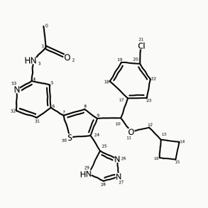 CC(=O)Nc1cc(-c2cc(C(OCC3CCC3)c3ccc(Cl)cc3)c(-c3nnc[nH]3)s2)ccn1